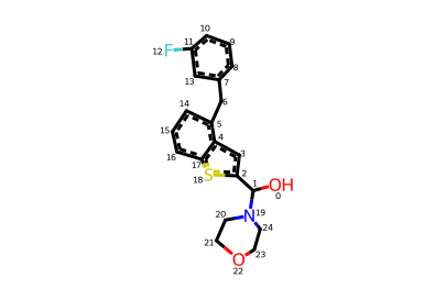 OC(c1cc2c(Cc3cccc(F)c3)cccc2s1)N1CCOCC1